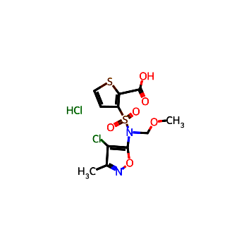 COCN(c1onc(C)c1Cl)S(=O)(=O)c1ccsc1C(=O)O.Cl